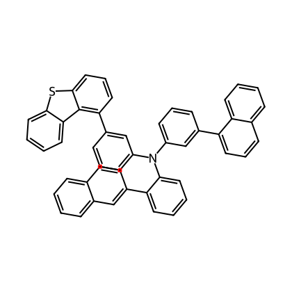 c1cc(-c2cccc3ccccc23)cc(N(c2cccc(-c3cccc4sc5ccccc5c34)c2)c2ccccc2-c2ccc3ccccc3c2)c1